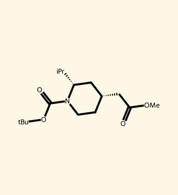 COC(=O)C[C@@H]1CCN(C(=O)OC(C)(C)C)[C@H](C(C)C)C1